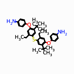 CCc1cc(Oc2ccc(N)cc2)c(C(C)(C)C)cc1Sc1cc(C(C)(C)C)c(Oc2ccc(N)cc2)cc1CC